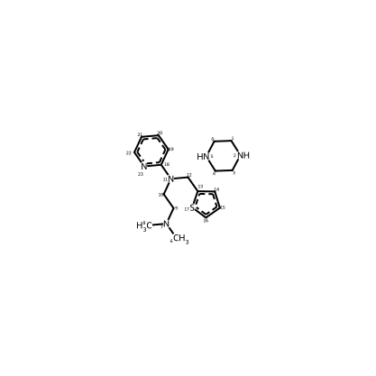 C1CNCCN1.CN(C)CCN(Cc1cccs1)c1ccccn1